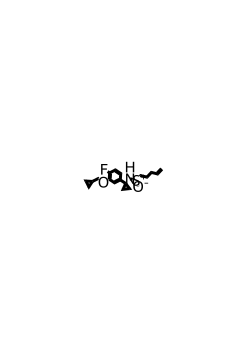 C=CCCC[S+]([O-])NC1(c2ccc(F)c(OCC3CC3)c2)CC1